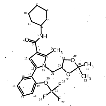 Cc1c(C(=O)NC2CCCCC2)cc(-c2ccccc2OC(F)(F)F)n1CC1COC(C)(C)O1